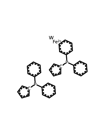 [Fe+2].[W].c1ccc(P(c2ccccc2)[c-]2cccc2)cc1.c1ccc(P(c2ccccc2)[c-]2cccc2)cc1